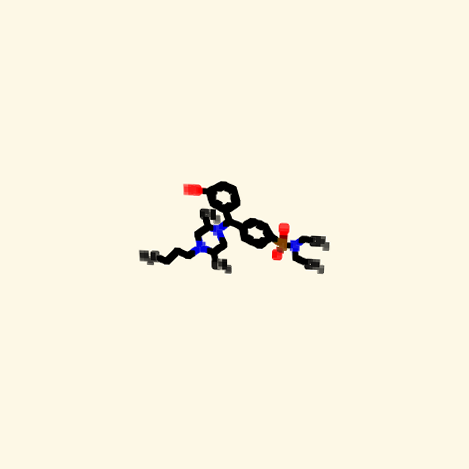 CCCCN1CC(C)N(C(c2ccc(S(=O)(=O)N(CC)CC)cc2)c2cccc(O)c2)CC1C